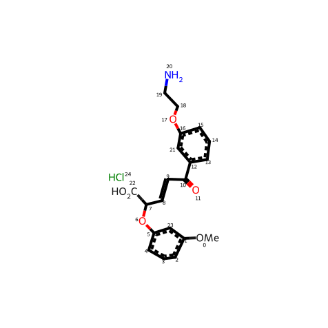 COc1cccc(OC(C=CC(=O)c2cccc(OCCN)c2)C(=O)O)c1.Cl